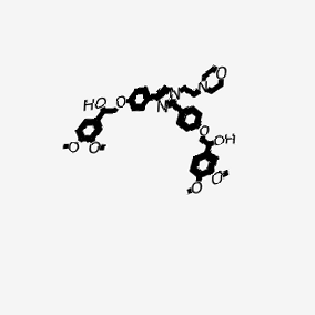 COc1ccc(C(O)COc2ccc(-c3cn(CCN4CCOCC4)c(-c4ccc(OCC(O)c5ccc(OC)c(OC)c5)cc4)n3)cc2)cc1OC